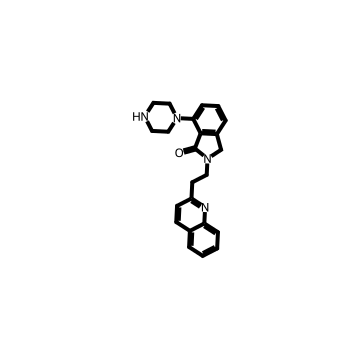 O=C1c2c(cccc2N2CCNCC2)CN1CCc1ccc2ccccc2n1